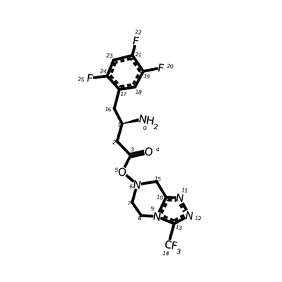 N[C@@H](CC(=O)ON1CCn2c(nnc2C(F)(F)F)C1)Cc1cc(F)c(F)cc1F